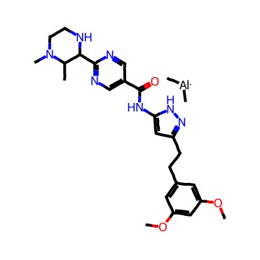 COc1cc(CCc2cc(NC(=O)c3cnc(C4NCCN(C)C4C)nc3)[nH]n2)cc(OC)c1.[CH3][Al][CH3]